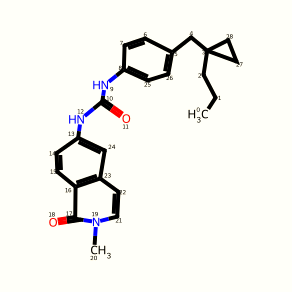 CCCC1(Cc2ccc(NC(=O)Nc3ccc4c(=O)n(C)ccc4c3)cc2)CC1